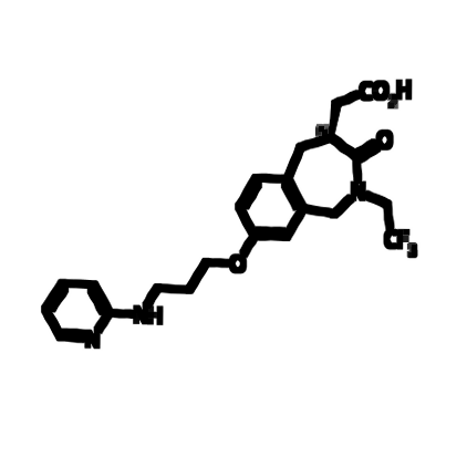 O=C(O)C[C@@H]1Cc2ccc(OCCCNc3ccccn3)cc2CN(CC(F)(F)F)C1=O